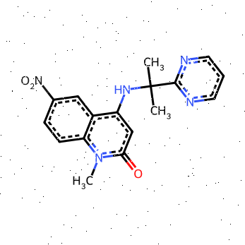 Cn1c(=O)cc(NC(C)(C)c2ncccn2)c2cc([N+](=O)[O-])ccc21